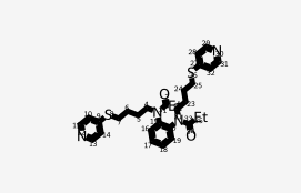 CCC(=O)N(CCCCSc1ccncc1)c1ccccc1N(CCCCSc1ccncc1)C(=O)CC